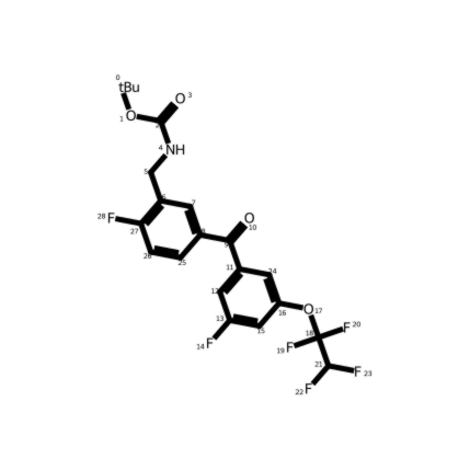 CC(C)(C)OC(=O)NCc1cc(C(=O)c2cc(F)cc(OC(F)(F)C(F)F)c2)ccc1F